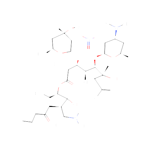 CCCC(=O)C[C@H]([C@@H](C)N(C)C)[C@](C)(O)[C@@H](CC)OC(=O)[C@H](C)[C@@H](O[C@H]1C[C@@](C)(OC)[C@@H](O)[C@H](C)O1)[C@H](C)[C@@H](O[C@@H]1O[C@H](C)C[C@H](N(C)C)[C@H]1O[N+](=O)[O-])[C@](C)(O)CC(C)C